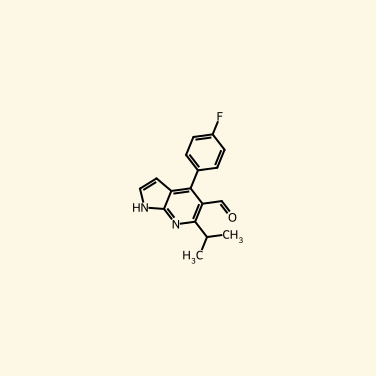 CC(C)c1nc2[nH]ccc2c(-c2ccc(F)cc2)c1C=O